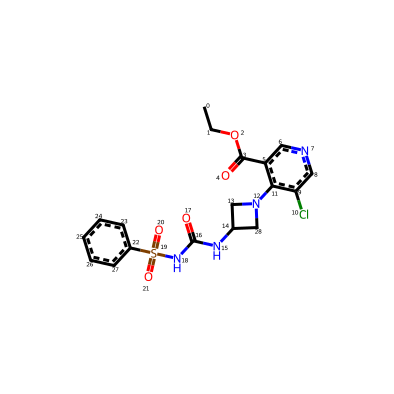 CCOC(=O)c1cncc(Cl)c1N1CC(NC(=O)NS(=O)(=O)c2ccccc2)C1